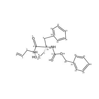 C=CCNC(=O)[C@@](CC(=O)O)(Cc1ccccc1)NC(=O)OCc1ccccc1